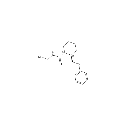 N#CCNC(=O)[C@@H]1CCCC[C@H]1CSc1ccccc1